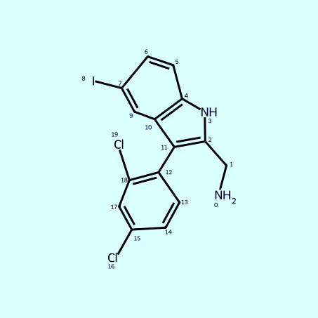 NCc1[nH]c2ccc(I)cc2c1-c1ccc(Cl)cc1Cl